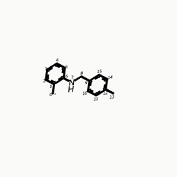 [CH2]c1ccccc1NCc1ccc(C)cc1